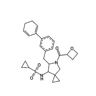 O=C(C1CCO1)N1CC2(CC2)C(NS(=O)(=O)C2CC2)C1Cc1cccc(C2=CCCC=C2)c1